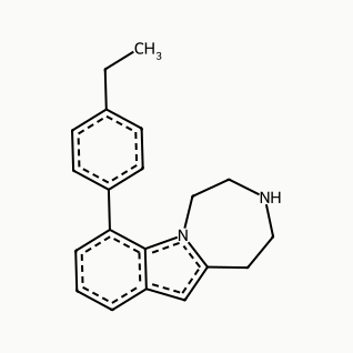 CCc1ccc(-c2cccc3cc4n(c23)CCNCC4)cc1